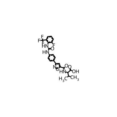 CC(C)C(NC(=O)c1cc(-c2ccc(NC(=O)Nc3c(F)cccc3C(F)(F)F)cc2)no1)C(=O)O